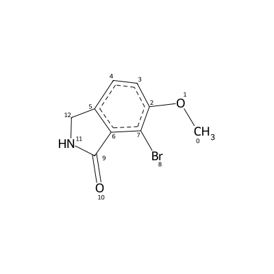 COc1ccc2c(c1Br)C(=O)NC2